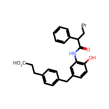 CC(C)CC(C(=O)Nc1cc(Cc2ccc(CCC(=O)O)cc2)ccc1O)c1ccccc1